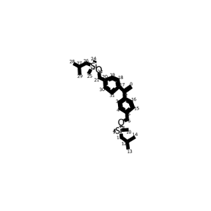 C=C(c1ccc(CO[Si](C)(C)CC(C)C)cc1)c1ccc(CO[Si](C)(C)CC(C)C)cc1